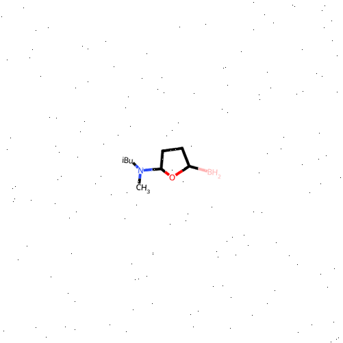 BC1CCC(N(C)C(C)CC)O1